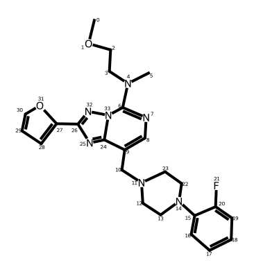 COCCN(C)c1ncc(CN2CCN(c3ccccc3F)CC2)c2nc(-c3ccco3)nn12